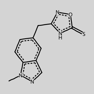 Cn1ncc2cc(Cc3noc(=S)[nH]3)ccc21